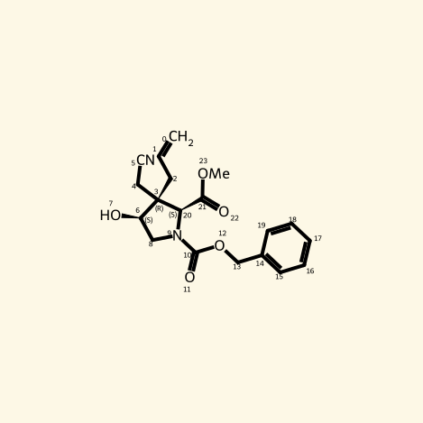 C=CC[C@]1(CC#N)[C@H](O)CN(C(=O)OCc2ccccc2)[C@@H]1C(=O)OC